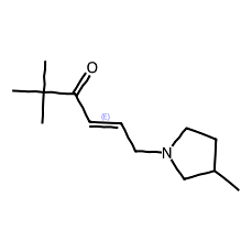 CC1CCN(C/C=C/C(=O)C(C)(C)C)C1